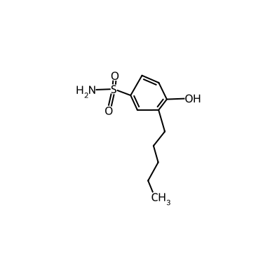 CCCCCc1cc(S(N)(=O)=O)ccc1O